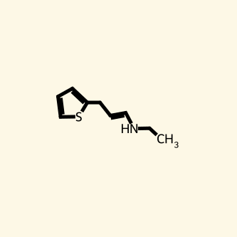 CCNC=CCc1cccs1